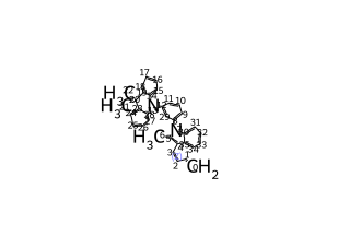 C=C/C=C\c1c(C)n(-c2cccc(N3c4ccccc4C(C)(C)c4ccccc43)c2)c2ccccc12